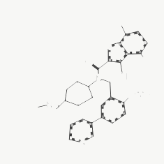 COc1ccc(-c2cccnc2)cc1CN(C(=O)c1sc2c(F)ccc(F)c2c1Cl)C1CCC(CNC(=O)O)CC1